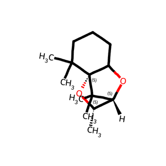 C[C@@H]1O[C@@]23C(CCCC2(C)C)O[C@H]1C3(C)C